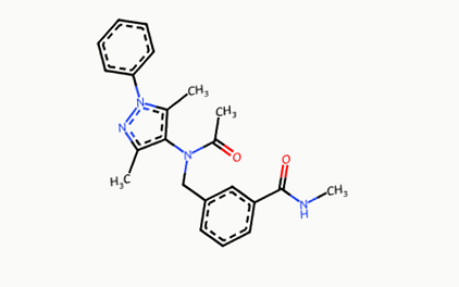 CNC(=O)c1cccc(CN(C(C)=O)c2c(C)nn(-c3ccccc3)c2C)c1